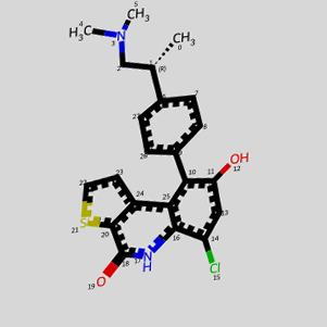 C[C@@H](CN(C)C)c1ccc(-c2c(O)cc(Cl)c3[nH]c(=O)c4sccc4c23)cc1